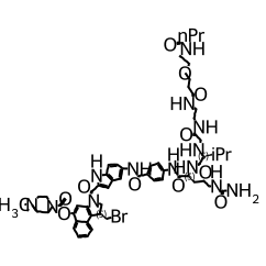 CCCC(=O)NCCOCCC(=O)NCCNC(=O)CN[C@H](C(=O)N[C@@H](CCCNC(N)=O)C(=O)Nc1ccc(C(=O)Nc2ccc3[nH]c(C(=O)N4C[C@@H](CBr)c5c4cc(OC(=O)N4CCN(C)CC4)c4ccccc54)cc3c2)cc1)C(C)C